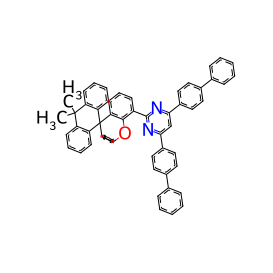 CC1(C)c2ccccc2C2(c3ccccc3Oc3c(-c4nc(-c5ccc(-c6ccccc6)cc5)cc(-c5ccc(-c6ccccc6)cc5)n4)cccc32)c2ccccc21